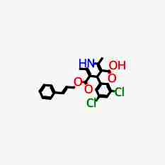 CC1=C(C(=O)O)C(c2cc(Cl)cc(Cl)c2)C(C(=O)OC/C=C/c2ccccc2)=C(C)N1